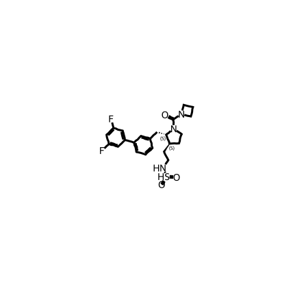 O=C(N1CCC1)N1CC[C@@H](CCN[SH](=O)=O)[C@@H]1Cc1cccc(-c2cc(F)cc(F)c2)c1